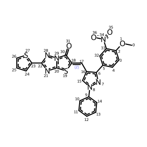 COc1ccc(-c2nn(-c3ccccc3)cc2/C=c2\sc3nc(-c4cccs4)nn3c2=O)cc1[N+](=O)[O-]